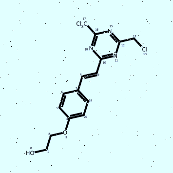 OCCOc1ccc(C=Cc2nc(CCl)nc(C(Cl)(Cl)Cl)n2)cc1